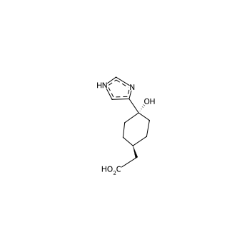 O=C(O)C[C@H]1CC[C@@](O)(c2c[nH]cn2)CC1